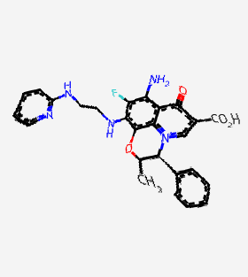 CC1Oc2c(NCCNc3ccccn3)c(F)c(N)c3c(=O)c(C(=O)O)cn(c23)[C@H]1c1ccccc1